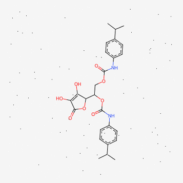 CC(C)c1ccc(NC(=O)OCC(OC(=O)Nc2ccc(C(C)C)cc2)C2OC(=O)C(O)=C2O)cc1